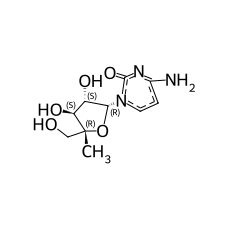 C[C@]1(CO)O[C@@H](n2ccc(N)nc2=O)[C@@H](O)[C@@H]1O